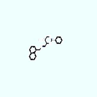 O[C@@H]1CO[C@@H](c2ccccc2)OC1/C=N/Cc1cccc2ccccc12